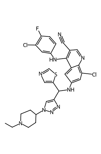 CCN1CCC(n2cc(C(Nc3cc(Cl)c4ncc(C#N)c(Nc5ccc(F)c(Cl)c5)c4c3)c3cncs3)nn2)CC1